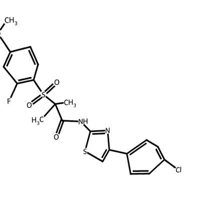 COc1ccc(S(=O)(=O)C(C)(C)C(=O)Nc2nc(-c3ccc(Cl)cc3)cs2)c(F)c1